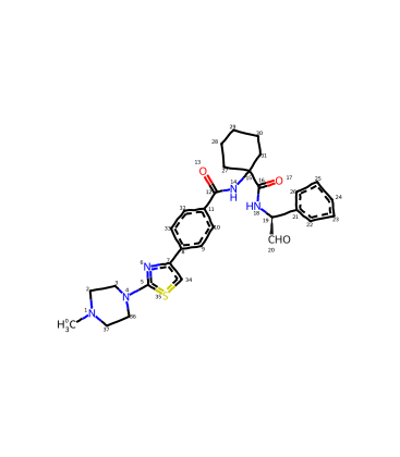 CN1CCN(c2nc(-c3ccc(C(=O)NC4(C(=O)N[C@H](C=O)c5ccccc5)CCCCC4)cc3)cs2)CC1